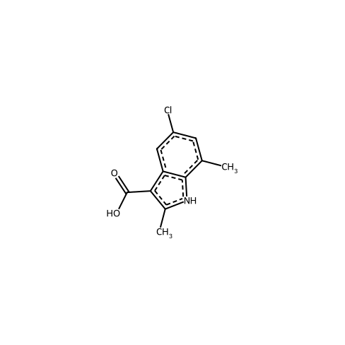 Cc1[nH]c2c(C)cc(Cl)cc2c1C(=O)O